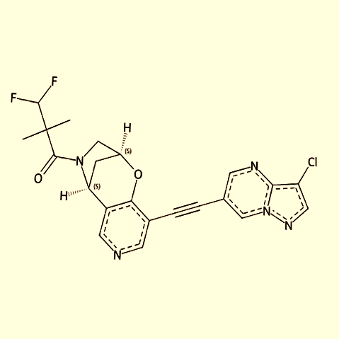 CC(C)(C(=O)N1C[C@@H]2C[C@H]1c1cncc(C#Cc3cnc4c(Cl)cnn4c3)c1O2)C(F)F